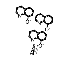 [Al+].[Al+].[Al+].[O-]c1cccc2cccnc12.[O-]c1cccc2cccnc12.[O-]c1cccc2cccnc12